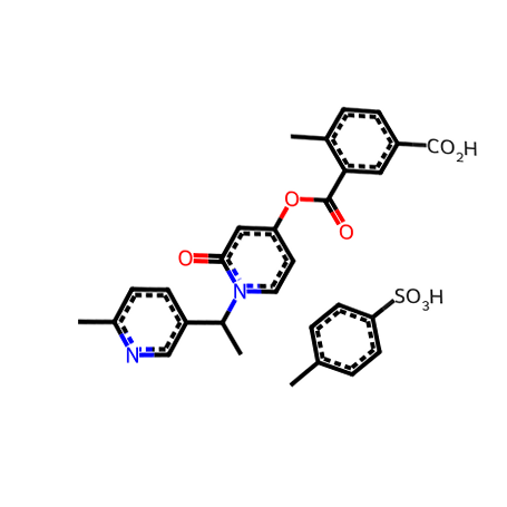 Cc1ccc(C(C)n2ccc(OC(=O)c3cc(C(=O)O)ccc3C)cc2=O)cn1.Cc1ccc(S(=O)(=O)O)cc1